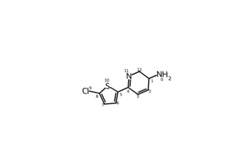 NC1C=CC(c2ccc(Cl)s2)=NC1